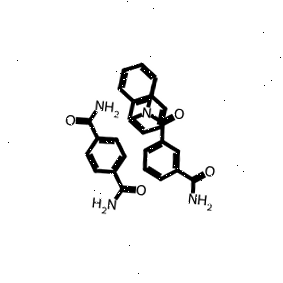 NC(=O)c1ccc(C(N)=O)cc1.NC(=O)c1cccc(C(=O)n2c3cccc4c3cccc42)c1